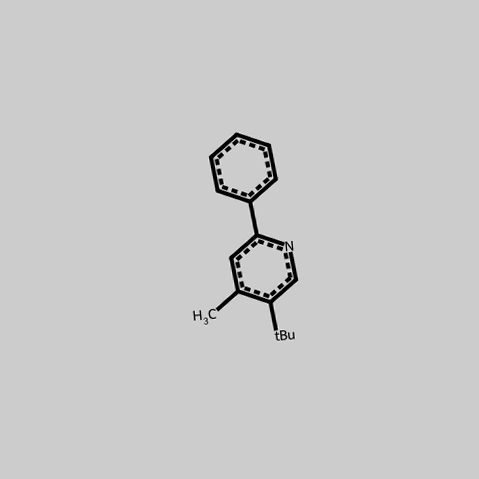 Cc1cc(-c2ccccc2)ncc1C(C)(C)C